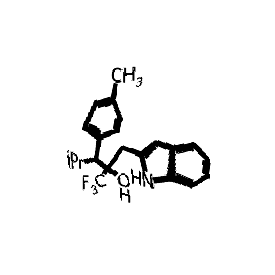 Cc1ccc(C(C(C)C)C(O)(Cc2cc3ccccc3[nH]2)C(F)(F)F)cc1